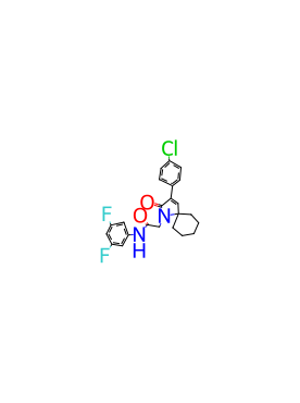 O=C(CN1C(=O)C(c2ccc(Cl)cc2)=CC12CCCCC2)Nc1cc(F)cc(F)c1